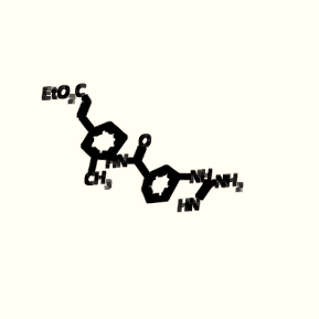 CCOC(=O)/C=C/c1ccc(NC(=O)c2cccc(NC(=N)N)c2)c(C)c1